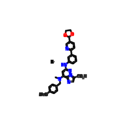 COc1ccc(CN(C)c2cc(Nc3cccc(-c4ccc(C5OCCO5)cn4)c3)nn3c(C(=O)O)cnc23)cc1.[K]